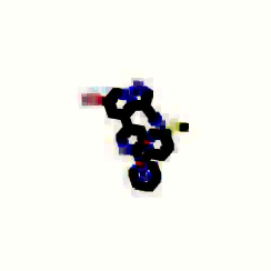 CSc1ccc(CN2C3CC2CN(c2ccc(-c4cc(O)cn5ncc(C#N)c45)cn2)C3)nc1